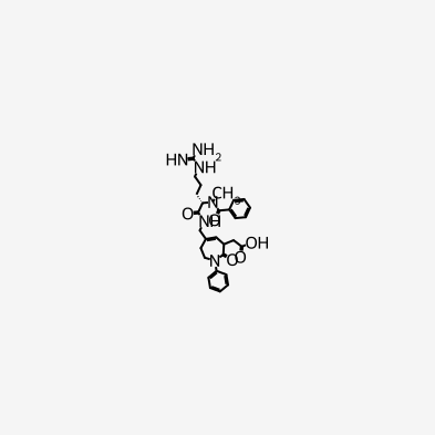 CN(C(=O)c1ccccc1)[C@@H](CCCNC(=N)N)C(=O)NCC1=CC(CC(=O)O)C(=O)N(c2ccccc2)CC1